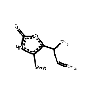 C=CC(N)c1oc(=O)[nH]c1CCCCC